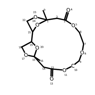 CC12CC(=O)OCCOCCOC(=O)CC3(C)OCC(O3)C(CO1)O2